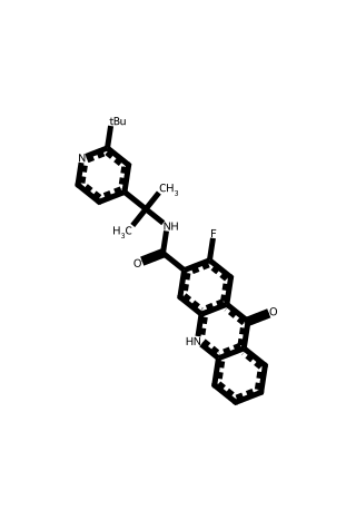 CC(C)(C)c1cc(C(C)(C)NC(=O)c2cc3[nH]c4ccccc4c(=O)c3cc2F)ccn1